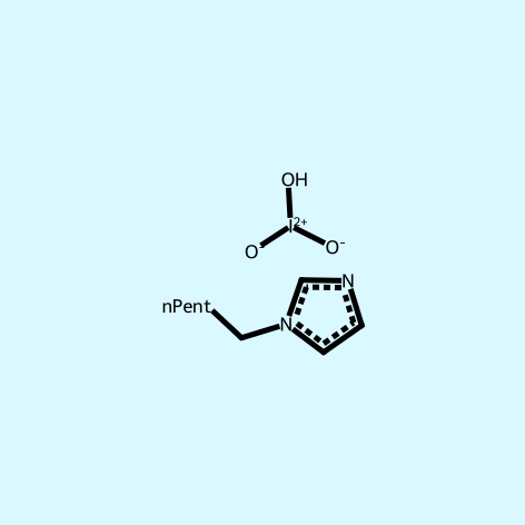 CCCCCCn1ccnc1.[O-][I+2]([O-])O